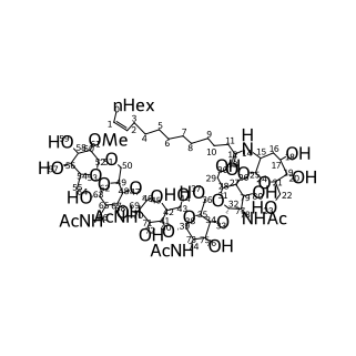 CCCCCC/C=C\CCCCCCCCCC(=O)NC1CC(O)[C@H](O)C(CO)O[C@H]1O[C@@H]1C(CO)O[C@@H](O[C@@H]2C(CO)O[C@@H](O[C@@H]3C(CO)O[C@@H](O[C@@H]4C(CO[C@@H]5OC(C)[C@@H](O)C(O)C5OC)O[C@@H](O)C(NC(C)=O)C4O)C(NC(C)=O)C3O)C(NC(C)=O)C2O)C(NC(C)=O)C1O